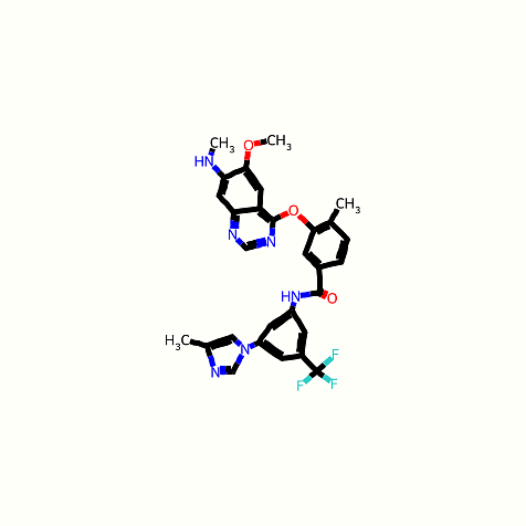 CNc1cc2ncnc(Oc3cc(C(=O)Nc4cc(-n5cnc(C)c5)cc(C(F)(F)F)c4)ccc3C)c2cc1OC